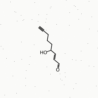 C#CCCCC(O)/C=C/C=O